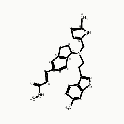 Cc1ccc2c(CCN(Cc3ccc(C)[nH]3)C3CCc4cc(C=CC(=O)NO)ccc43)c[nH]c2c1